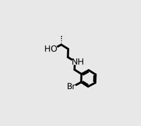 C[C@@H](O)CCNCc1ccccc1Br